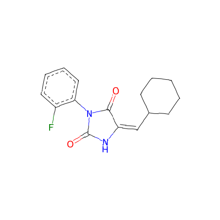 O=C1NC(=CC2CCCCC2)C(=O)N1c1ccccc1F